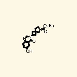 CC(C)(C)OC(=O)N1CCC2(CC(n3cnc4ccc(O)cc4c3=O)C2)C1